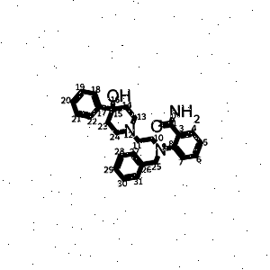 NC(=O)c1ccccc1N(CCN1CCC(O)(c2ccccc2)CC1)Cc1ccccc1